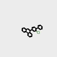 Clc1cc(-c2cc3ccccc3c3ccccc23)ccc1-c1ccccc1